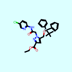 CCOC(=O)c1cc(CO[Si](c2ccccc2)(c2ccccc2)C(C)(C)C)n(CC(=O)Nc2ccc(Cl)cn2)n1